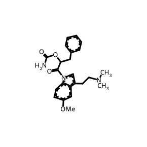 COc1ccc2c(c1)c(CCN(C)C)cn2C(=O)C(Cc1ccccc1)OC(N)=O